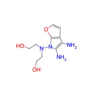 Nc1c(N)n(N(CCO)CCO)c2occc12